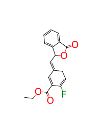 CCOC(=O)C1=CC(=CC2OC(=O)c3ccccc32)CC=C1F